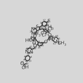 Cc1c(Cl)c2c(Cl)c(C)c1-c1c(-c3ccc(F)cc3)sc3ncnc(c13)O[C@@H](C(=O)O)Cc1cc(ccc1OCc1ccnc([C@H]3CC[C@@H](CC(=O)O)CC3)n1)OC[C@@H](CN1CCN(C)CC1)O2